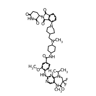 COc1cc(C(=O)NC2CCC(N(C)CC3CCN(c4cccc5c4C(=O)N(C4CCC(=O)NC4=O)C5=O)CC3)CC2)ccc1Nc1ncc2c(n1)N(C(C)C)CC(F)(F)C(=O)N2C